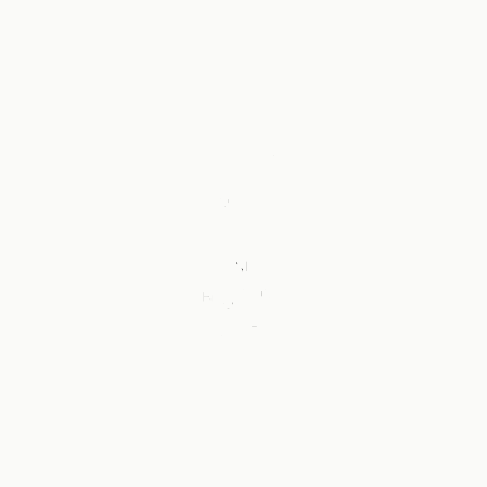 CCc1ccc(OCc2cccc(Br)c2NC(=O)OC(F)F)c(C)c1